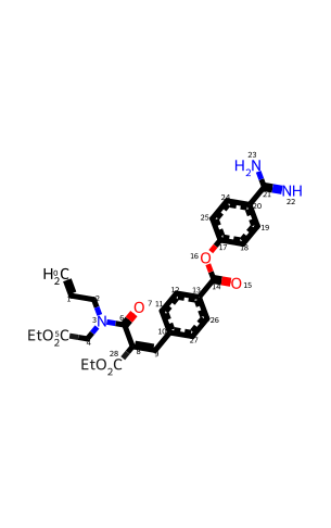 C=CCN(CC(=O)OCC)C(=O)C(=Cc1ccc(C(=O)Oc2ccc(C(=N)N)cc2)cc1)C(=O)OCC